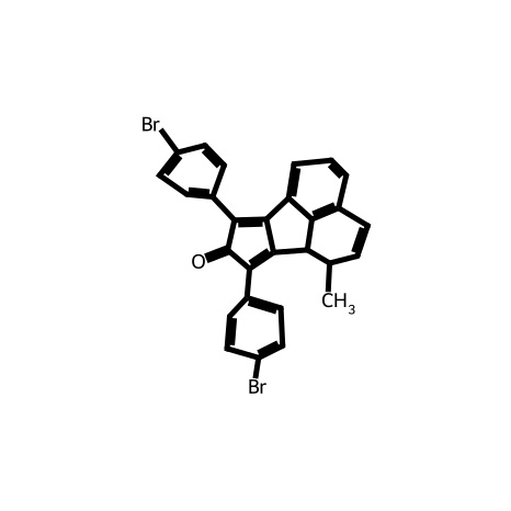 CC1C=Cc2cccc3c2C1C1=C(c2ccc(Br)cc2)C(=O)C(c2ccc(Br)cc2)=C13